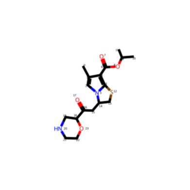 Cc1cn2c(c1C(=O)OC(C)C)SCC2CC(=O)C1CNCCO1